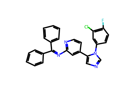 Fc1ccc(-n2cncc2-c2ccnc(N=C(c3ccccc3)c3ccccc3)c2)cc1Cl